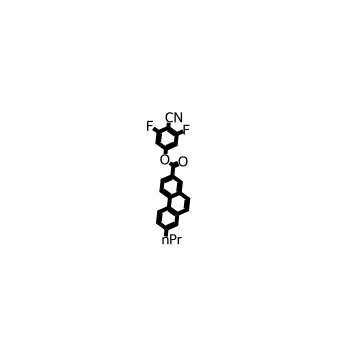 CCCc1ccc2c(ccc3cc(C(=O)Oc4cc(F)c(C#N)c(F)c4)ccc32)c1